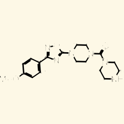 COc1ccc(-c2noc(N3CCN(C(=O)N4CCNCC4)CC3)n2)cc1